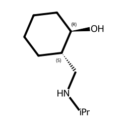 CC(C)NC[C@@H]1CCCC[C@H]1O